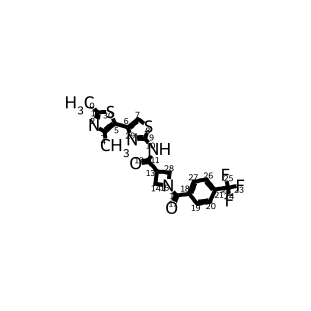 Cc1nc(C)c(-c2csc(NC(=O)C3CN(C(=O)c4ccc(C(F)(F)F)cc4)C3)n2)s1